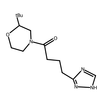 CC(C)(C)C1CN(C(=O)CCCc2nc[nH]n2)CCO1